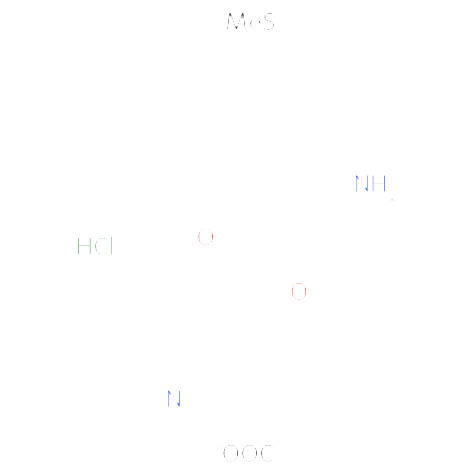 CSCC[C@H](N)C(=O)OC(CC(=O)[O-])C[N+](C)(C)C.Cl